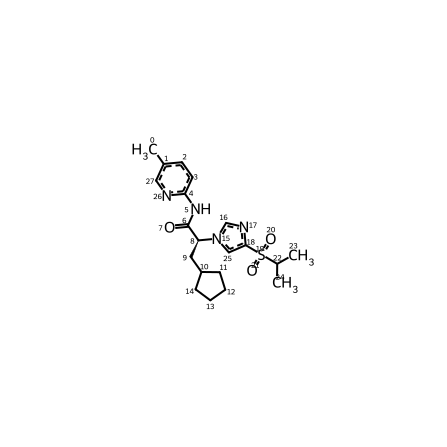 Cc1ccc(NC(=O)[C@H](CC2CCCC2)n2cnc(S(=O)(=O)C(C)C)c2)nc1